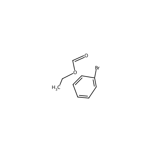 Brc1ccccc1.CCOC=O